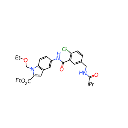 CCOCn1c(C(=O)OCC)cc2cc(NC(=O)c3cc(CNC(=O)C(C)C)ccc3Cl)ccc21